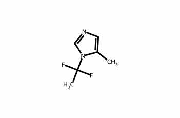 Cc1cncn1C(C)(F)F